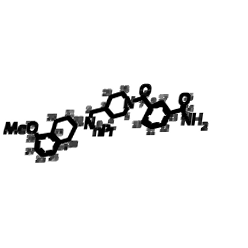 CCCN(CC1CCN(C(=O)c2cccc(C(N)=O)c2)CC1)[C@H]1CCc2c(cccc2OC)C1